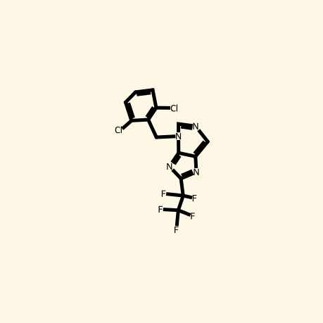 FC(F)(F)C(F)(F)c1nc2cncn(Cc3c(Cl)cccc3Cl)c-2n1